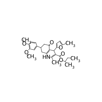 CCC(C)OC(=O)C1=C(C)NC2=C(C(=O)CC(c3ccc(OC)c(OC)c3)C2)C1c1ccc(C)o1